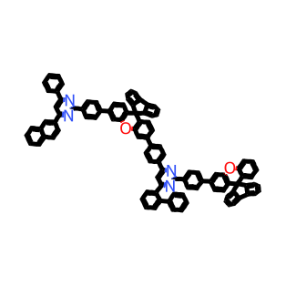 c1ccc(-c2cc(-c3ccc4ccccc4c3)nc(-c3ccc(-c4ccc5c(c4)Oc4cc(-c6ccc(-c7cc(-c8ccccc8-c8ccccc8)nc(-c8ccc(-c9ccc%10c(c9)Oc9ccccc9C%109c%10ccccc%10-c%10ccccc%109)cc8)n7)cc6)ccc4C54c5ccccc5-c5ccccc54)cc3)n2)cc1